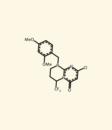 COc1ccc(CN2CCC(C(F)(F)F)n3c2nc(Cl)cc3=O)c(OC)c1